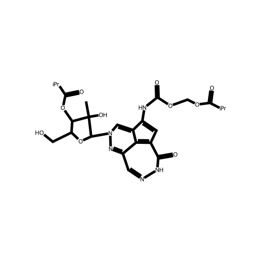 CC(C)C(=O)OCOC(=O)Nc1cc2c(=O)[nH]ncc3nn(C4OC(CO)C(OC(=O)C(C)C)C4(C)O)cc1c32